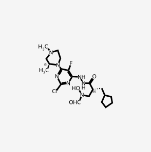 C[C@H]1CN(C)CCN1c1nc(Cl)nc(NNC(=O)[C@H](CC2CCCC2)CN(O)C=O)c1F